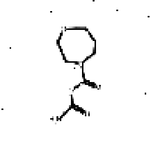 NC(=O)OC(=O)N1CCCOCC1